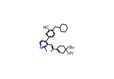 CCCCC1(CCC)CC=C(/C(C)=C/c2c(-c3ccc(CC4CCCCC4)c(C#N)c3)ccnc2C)CC1